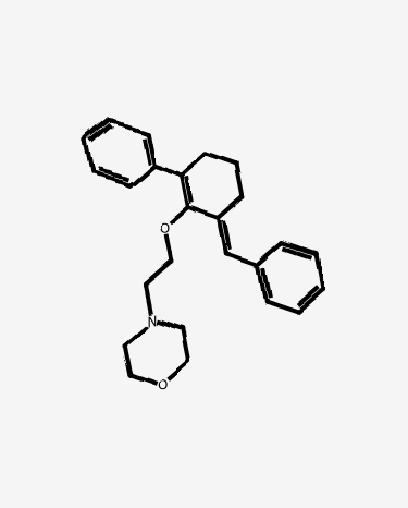 C(=C1/CCCC(c2ccccc2)=C1OCCN1CCOCC1)/c1ccccc1